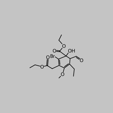 CCOC(=O)CC1=C(Br)C(O)(C(=O)OCC)C(C=O)C(CC)=C1OC